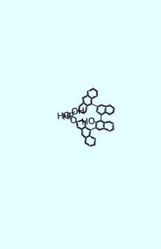 O=[PH](O)O.Oc1c(-c2c3ccccc3cc3ccccc23)cc2ccccc2c1-c1cc(-c2c3ccccc3cc3ccccc23)cc2ccccc12